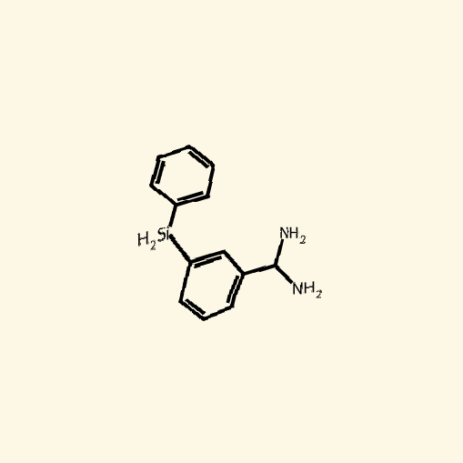 NC(N)c1cccc([SiH2]c2ccccc2)c1